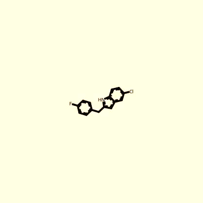 Fc1ccc(Cc2cc3cc(Cl)ccc3[nH]2)cc1